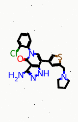 Nc1n[nH]c2c(-c3csc(CN4CCCC4)c3)cn(-c3ccccc3Cl)c(=O)c12